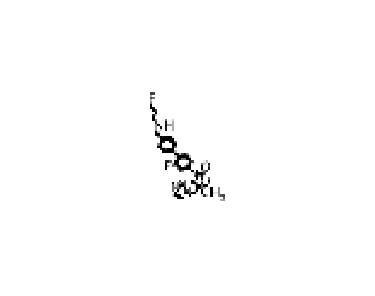 C[C@]1(Cn2ccnn2)CN(c2ccc(-c3ccc(CNCCCF)cc3)c(F)c2)C(=O)O1